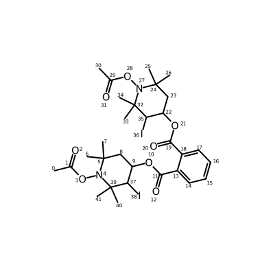 CC(=O)ON1C(C)(C)CC(OC(=O)c2ccccc2C(=O)OC2CC(C)(C)N(OC(C)=O)C(C)(C)C2I)C(I)C1(C)C